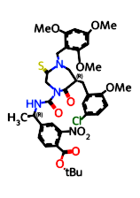 COc1cc(OC)c(CN2C[C@@H](Cc3cc(Cl)ccc3OC)C(=O)N(C(=O)N[C@H](C)c3ccc(C(=O)OC(C)(C)C)c([N+](=O)[O-])c3)CC2=S)c(OC)c1